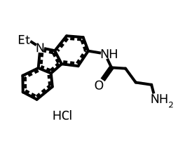 CCn1c2ccccc2c2cc(NC(=O)CCCN)ccc21.Cl